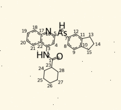 O=C(Nc1cc([AsH]c2ccc3c(c2)CCC3)nc2ccccc12)C1CCCCC1